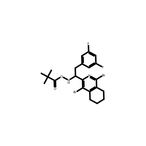 CC(C)(C)C(=O)ONC(Cc1cc(F)cc(F)c1)c1nc(Br)c2c(c1Br)CCCC2